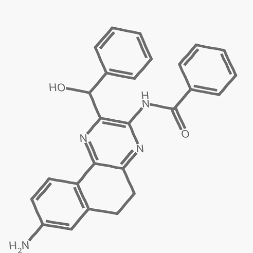 Nc1ccc2c(c1)CCc1nc(NC(=O)c3ccccc3)c(C(O)c3ccccc3)nc1-2